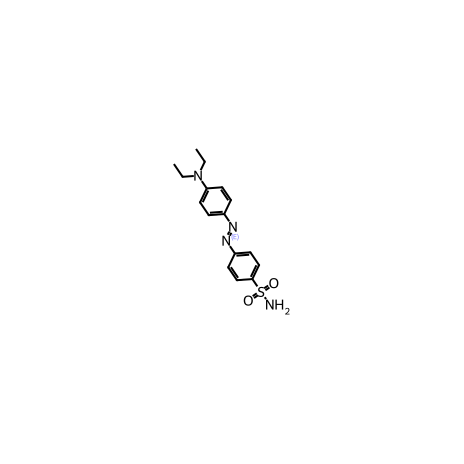 CCN(CC)c1ccc(/N=N/c2ccc(S(N)(=O)=O)cc2)cc1